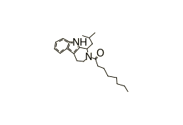 CCCCCCCC(=O)N1CCc2c([nH]c3ccccc23)C1CC(C)C